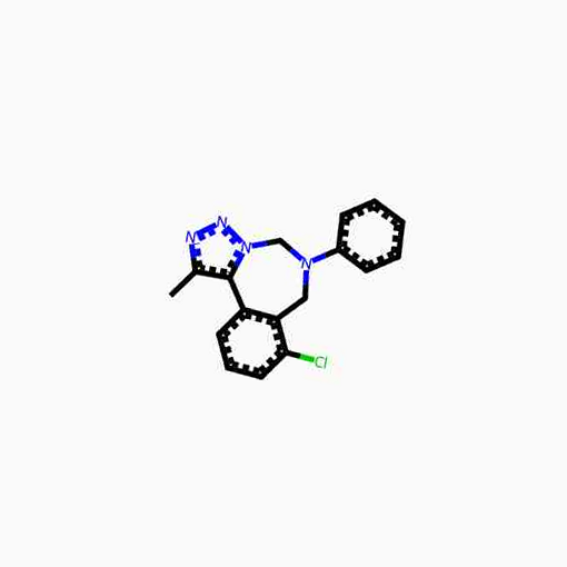 Cc1nnn2c1-c1cccc(Cl)c1CN(c1ccccc1)C2